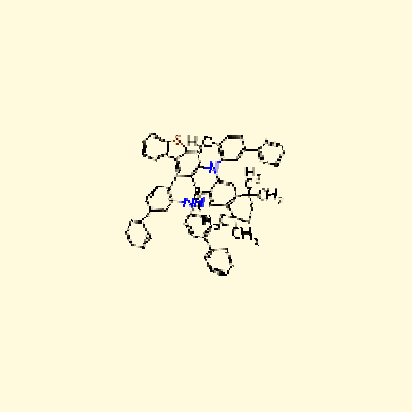 Cc1ccc(-c2ccccc2)cc1N1c2cc3c(cc2Bc2c1cc1sc4ccccc4c1c2-c1ccc(-c2ccccc2)cc1Nc1ccc(-c2ccccc2)cc1)C(C)(C)CCC3(C)C